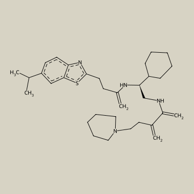 C=C(CCc1nc2ccc(C(C)C)cc2s1)N[C@H](CNC(=C)C(=C)CCN1CCCCC1)C1CCCCC1